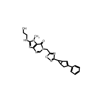 Cn1c(NCCO)nc2ncn(Cc3nc(C4C5C=C(c6ccccc6)CC54)no3)c(=O)c21